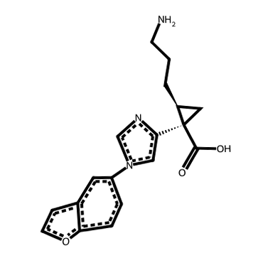 NCCC[C@H]1C[C@]1(C(=O)O)c1cn(-c2ccc3occc3c2)cn1